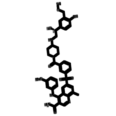 COc1cccc(Nc2c(C(N)=O)cnc3c(C)cc(S(=O)(=O)c4cccc(C(=O)N5CCC(NC[C@H](O)c6ccc(O)c(COS)c6)CC5)c4)cc23)c1